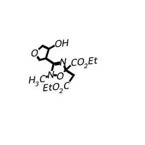 CCOC(=O)CC1(C(=O)OCC)N=C(C2COCC2O)N(C)O1